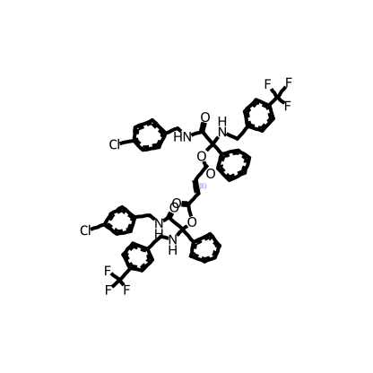 O=C(/C=C/C(=O)OC(NCc1ccc(C(F)(F)F)cc1)(C(=O)NCc1ccc(Cl)cc1)c1ccccc1)OC(NCc1ccc(C(F)(F)F)cc1)(C(=O)NCc1ccc(Cl)cc1)c1ccccc1